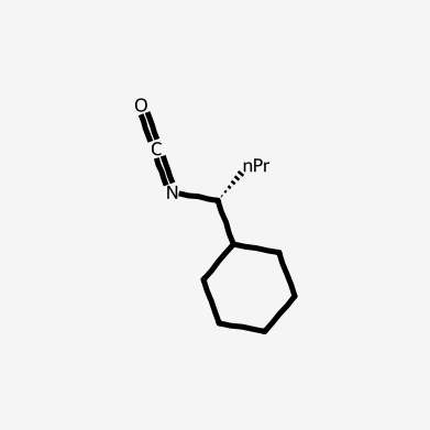 CCC[C@@H](N=C=O)C1CCCCC1